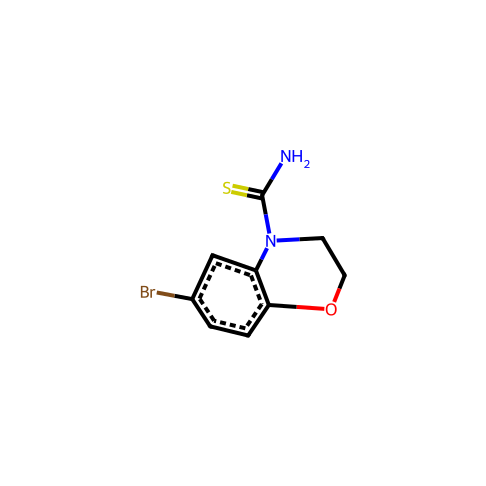 NC(=S)N1CCOc2ccc(Br)cc21